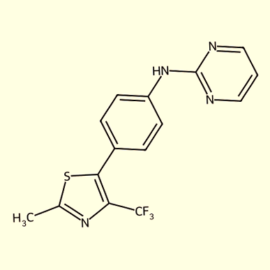 Cc1nc(C(F)(F)F)c(-c2ccc(Nc3ncccn3)cc2)s1